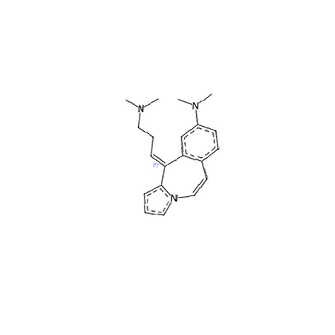 CN(C)CC/C=C1\c2cc(N(C)C)ccc2C=Cn2cccc21